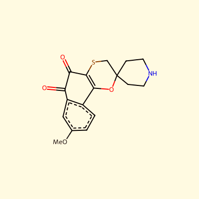 COc1ccc2c(c1)C(=O)C(=O)C1=C2OC2(CCNCC2)CS1